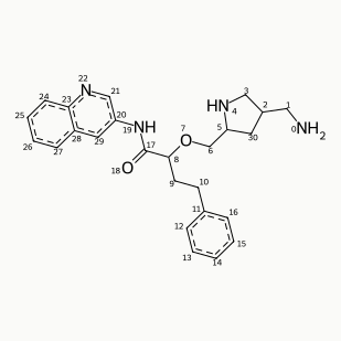 NCC1CNC(COC(CCc2ccccc2)C(=O)Nc2cnc3ccccc3c2)C1